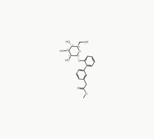 COC(=O)Cc1cccc(-c2ccccc2O[C@H]2O[C@H](CO)[C@@H](O)[C@H](O)[C@@H]2O)c1